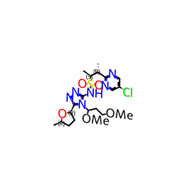 COCCC(OC)n1c(NS(=O)(=O)[C@@H](C)[C@H](C)c2ncc(Cl)cn2)nnc1[C@H]1CC[C@@H](C)O1